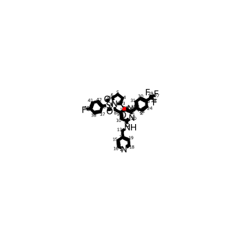 NC(=O)[C@@H]1CCC[N+]1(Cc1cc(NCc2ccncc2)nc(-c2ccc(C(F)(F)F)cc2)c1)S(=O)(=O)c1ccc(F)cc1